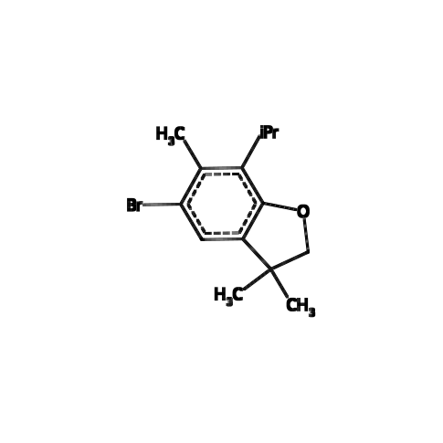 Cc1c(Br)cc2c(c1C(C)C)OCC2(C)C